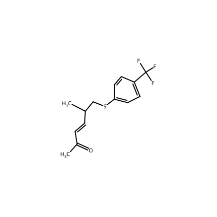 CC(=O)C=CC(C)CSc1ccc(C(F)(F)F)cc1